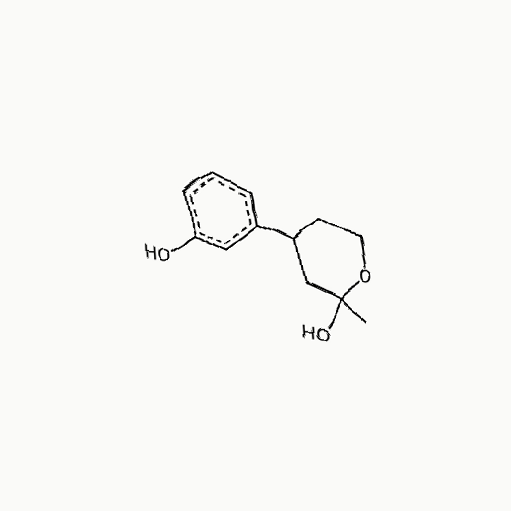 CC1(O)CC(c2cccc(O)c2)CCO1